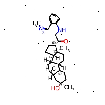 C/N=C\c1ccccc1NCC(=O)[C@H]1CC[C@H]2[C@@H]3CC[C@@H]4C[C@](C)(O)CC[C@]4(C)[C@H]3CC[C@]12C